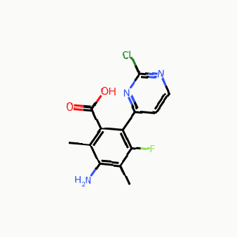 Cc1c(N)c(C)c(C(=O)O)c(-c2ccnc(Cl)n2)c1F